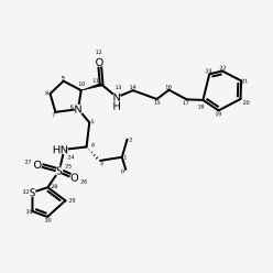 CC(C)C[C@@H](CN1CCC[C@H]1C(=O)NCCCCc1ccccc1)NS(=O)(=O)c1cccs1